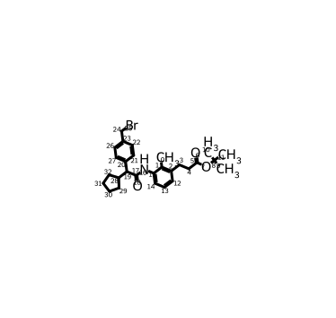 Cc1c(CCC(=O)OC(C)(C)C)cccc1NC(=O)C(c1ccc(CBr)cc1)C1CCCC1